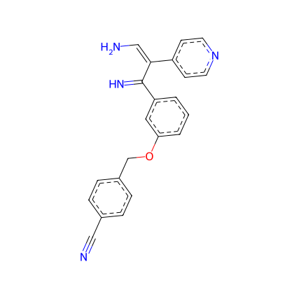 N#Cc1ccc(COc2cccc(C(=N)/C(=C\N)c3ccncc3)c2)cc1